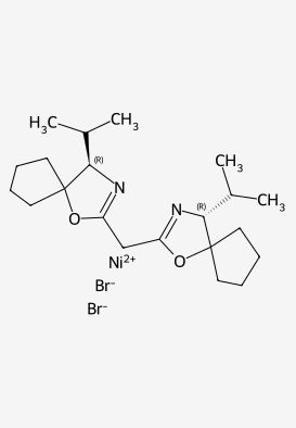 CC(C)[C@H]1N=C(CC2=N[C@H](C(C)C)C3(CCCC3)O2)OC12CCCC2.[Br-].[Br-].[Ni+2]